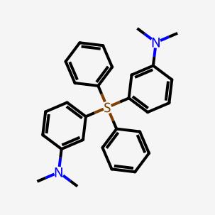 CN(C)c1cccc(S(c2ccccc2)(c2ccccc2)c2cccc(N(C)C)c2)c1